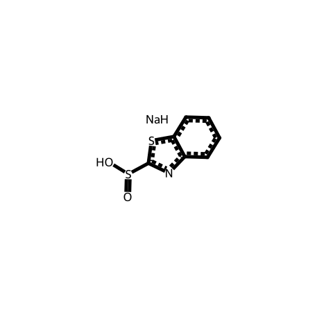 O=S(O)c1nc2ccccc2s1.[NaH]